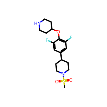 CS(=O)(=O)N1CCC(c2cc(F)c(OC3CCNCC3)c(F)c2)CC1